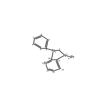 CC(C)N1CN(c2ccccc2)c2ncccc21